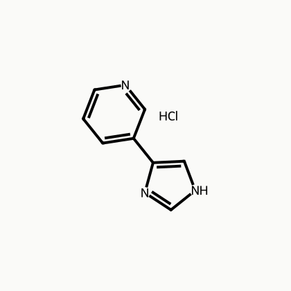 Cl.c1cncc(-c2c[nH]cn2)c1